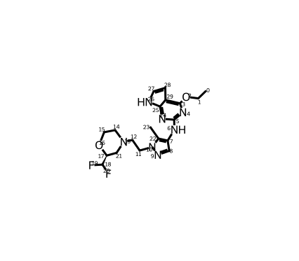 CCOc1nc(Nc2cnn(CCN3CCO[C@H](C(F)F)C3)c2C)nc2[nH]ccc12